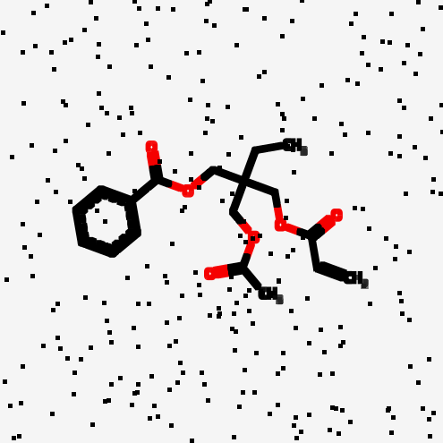 C=CC(=O)OCC(CC)(COC(C)=O)COC(=O)c1ccccc1